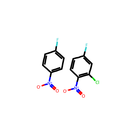 O=[N+]([O-])c1ccc(F)cc1.O=[N+]([O-])c1ccc(F)cc1Cl